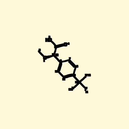 CO[C@@H](C(=O)O)c1ccc(C(F)(F)F)cc1